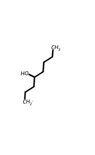 [CH2]CCC(O)CCCC